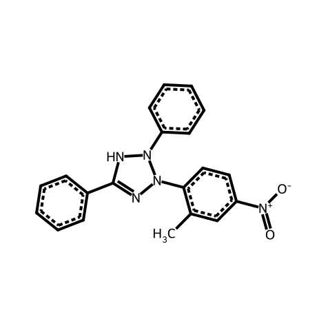 Cc1cc([N+](=O)[O-])ccc1N1N=C(c2ccccc2)NN1c1ccccc1